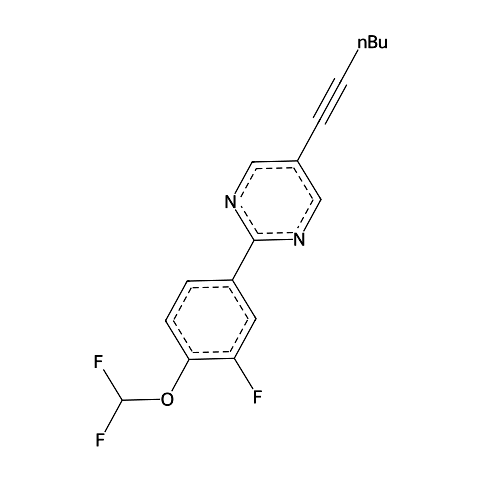 CCCCC#Cc1cnc(-c2ccc(OC(F)F)c(F)c2)nc1